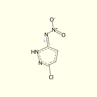 O=[N+]([O-])/N=c1\ccc(Cl)n[nH]1